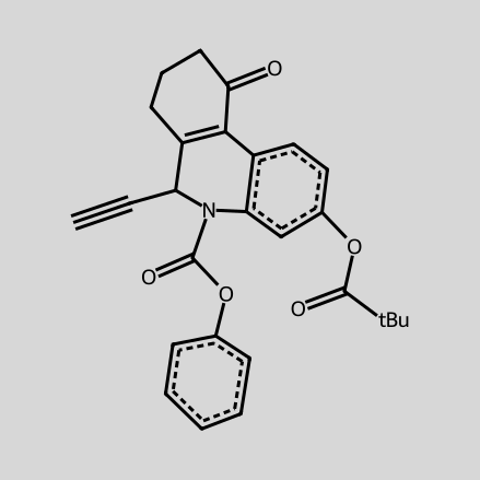 C#CC1C2=C(C(=O)CCC2)c2ccc(OC(=O)C(C)(C)C)cc2N1C(=O)Oc1ccccc1